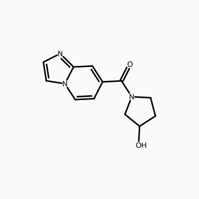 O=C(c1ccn2ccnc2c1)N1CCC(O)C1